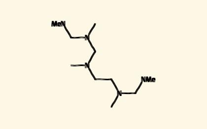 CNCN(C)CCN(C)CN(C)CNC